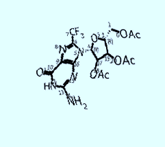 CC(=O)OC[C@H]1O[C@@H](n2c(C(F)(F)F)nc3c(=O)[nH]c(N)nc32)C(OC(C)=O)C1OC(C)=O